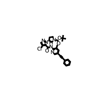 Cc1cc(C#Cc2ccccc2)cnc1NC(=O)c1c(Cl)cnn1[C@@H]1CCN(C(=O)OC(C)(C)C)C1